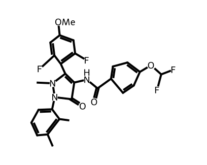 COc1cc(F)c(-c2c(NC(=O)c3ccc(OC(F)F)cc3)c(=O)n(-c3cccc(C)c3C)n2C)c(F)c1